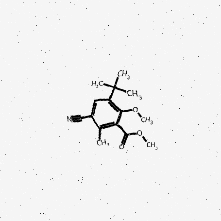 COC(=O)c1c(C)c(C#N)cc(C(C)(C)C)c1OC